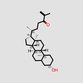 C=C(C)C(=O)CC[C@@H](C)[C@H]1CC[C@H]2[C@@H]3CCC4C[C@@H](O)CC[C@]4(C)[C@H]3CC[C@]12C